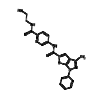 Cc1nn(-c2ccccc2)c2sc(C(=O)Nc3ccc(C(=O)NCCO)nc3)cc12